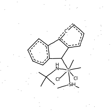 C[SiH](C)[Ti]([CH3])([CH3])([Cl])([Cl])([NH]C(C)(C)C)[CH]1c2ccccc2-c2ccccc21